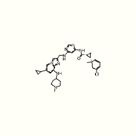 CN1CCC(Nc2cc(C3CC3)cn3cc(CNc4cc(NC(=O)[C@H]5C[C@@H]5C5(C)C=CC=C(Cl)C5)ncn4)nc23)CC1